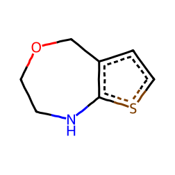 c1cc2c(s1)NCCOC2